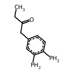 CCC(=O)Cc1ccc(P)c(P)c1